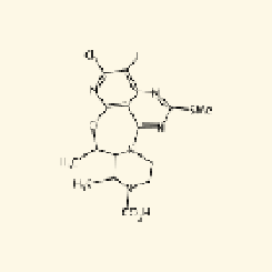 CSc1nc2c3c(nc(Cl)c(F)c3n1)OC(C)C1C(C)N(C(=O)O)CCN21